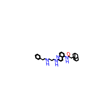 O=C(CC12CC3CC(CC(C3)C1)C2)Nc1cccc2nc(NCCCNCCc3ccccc3)ccc12